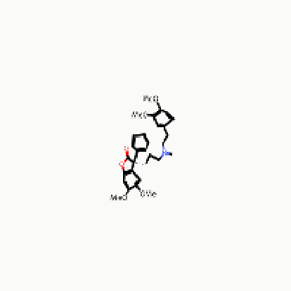 COc1ccc(CCN(C)CCC[C@@]2(c3ccccc3)C(=O)Oc3cc(OC)c(OC)cc32)cc1OC